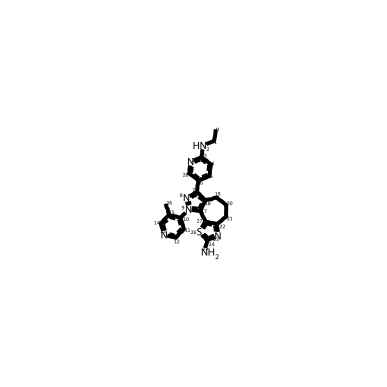 CCNc1ccc(-c2nn(-c3ccncc3C)c3c2CCCc2nc(N)sc2-3)cn1